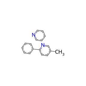 Cc1ccc(-c2ccccc2)nc1.c1ccncc1